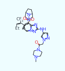 C=C(CS(=O)(=O)N1C2CCC1CN(c1cccn3nc(Nc4cnn(CC(=O)N5CCN(C)CC5)c4)nc13)C2)/C(=C\CC)C(F)(F)F